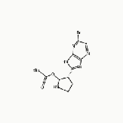 CC(C)(C)C(=O)OC1NCC[C@H]1c1nc2ncc(Br)nc2[nH]1